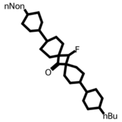 CCCCCCCCCC1CCC(C2CCC3(CC2)C(=O)C2(CCC(C4CCC(CCCC)CC4)CC2)C3F)CC1